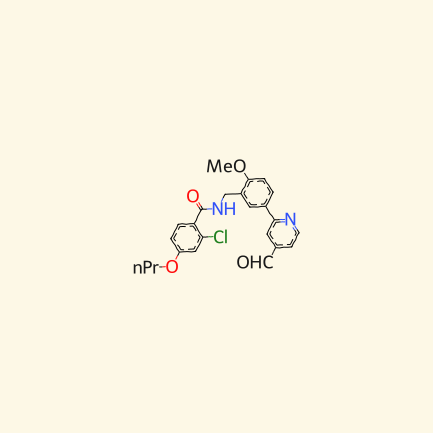 CCCOc1ccc(C(=O)NCc2cc(-c3cc(C=O)ccn3)ccc2OC)c(Cl)c1